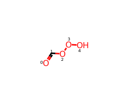 O=COOO